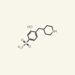 CS(=O)(=O)c1ccc(CC2CCNCC2)cc1.Cl